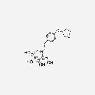 OC[C@H]1[C@@H](O)[C@H](O)[C@@H](O)CN1CCc1ccc(OC2CCOC2)cc1